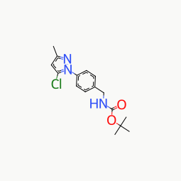 Cc1cc(Cl)n(-c2ccc(CNC(=O)OC(C)(C)C)cc2)n1